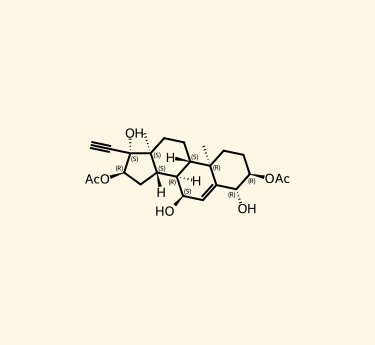 C#C[C@]1(O)[C@H](OC(C)=O)C[C@H]2[C@@H]3[C@H](O)C=C4[C@@H](O)[C@H](OC(C)=O)CC[C@]4(C)[C@H]3CC[C@@]21C